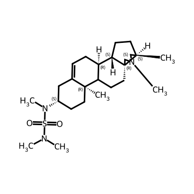 C[C@H]1[C@H]2CC[C@H]3[C@@H]4CC=C5C[C@@H](N(C)S(=O)(=O)N(C)C)CC[C@]5(C)C4CC[C@]23CN1C